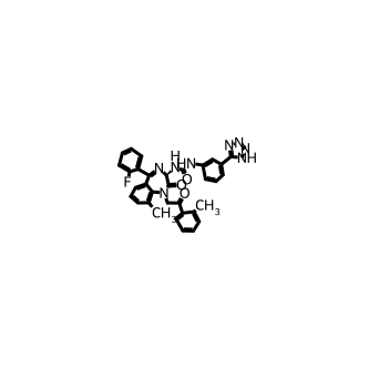 Cc1ccccc1C(=O)CN1C(=O)[C@H](NC(=O)Nc2cccc(-c3nnn[nH]3)c2)N=C(c2ccccc2F)c2cccc(C)c21